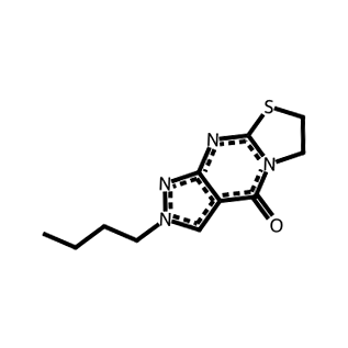 CCCCn1cc2c(=O)n3c(nc2n1)SCC3